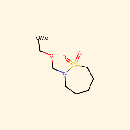 COCOCN1CCCCCS1(=O)=O